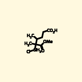 COC(=O)C(C)([SiH2]Cl)C(C)CCC(=O)O